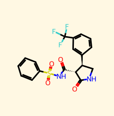 O=C1NC[C@H](c2cccc(C(F)(F)F)c2)[C@H]1C(=O)NS(=O)(=O)c1ccccc1